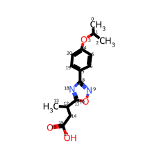 CC(C)Oc1ccc(-c2noc(C(C)CC(=O)O)n2)cc1